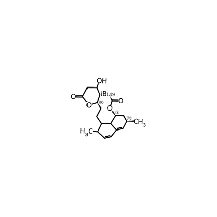 CC[C@H](C)C(=O)O[C@H]1C[C@@H](C)C=C2C=CC(C)C(CC[C@@H]3CC(O)CC(=O)O3)C21